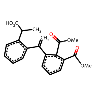 C=C(c1ccccc1C(C)C(=O)O)c1cccc(C(=O)OC)c1C(=O)OC